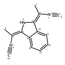 [C-]#[N+]/C(C)=c1/[nH]/c(=C(\C)[N+]#[C-])c2ccccc12